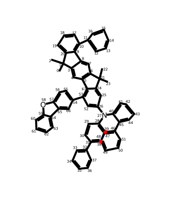 CC1(C)c2cc3c(cc2-c2c(-c4ccccc4)cccc21)C(C)(C)c1cc(N(c2ccc(-c4ccccc4)cc2)c2ccccc2-c2ccccc2)cc(-c2ccc4oc5ccccc5c4c2)c1-3